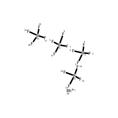 F[B-](F)(F)F.F[B-](F)(F)F.F[B-](F)(F)F.F[B-](F)(F)F.[Rh+4]